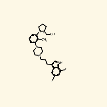 Cc1c(N2CCN(CCCc3c[nH]c4c(F)cc(F)cc34)CC2)cccc1N1CCC[C@H]1CO